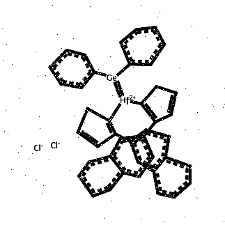 C1=CC(c2ccc3ccccc3c2)=[C]([Hf+2]([C]2=C(c3ccc4ccccc4c3)C=CC2)=[Ge]([c]2ccccc2)[c]2ccccc2)C1.[Cl-].[Cl-]